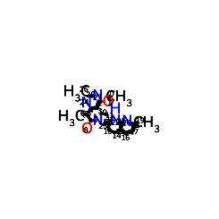 COc1cc([C@H](C)C(=O)N2CC[C@]3(CCc4ccc(C)nc4N3)C2)nc(C)n1